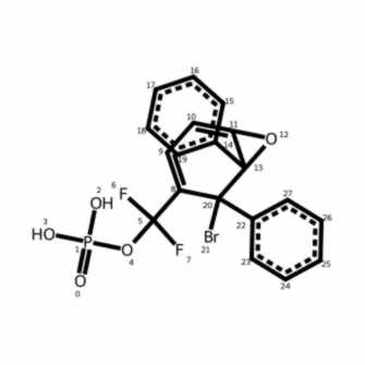 O=P(O)(O)OC(F)(F)C1=CC=C2OC2(c2ccccc2)C1(Br)c1ccccc1